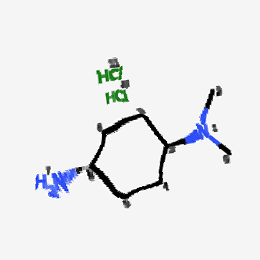 CN(C)[C@H]1CC[C@H](N)CC1.Cl.Cl